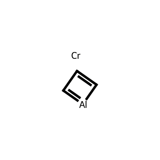 C1=[CH][Al]=[CH]1.[Cr]